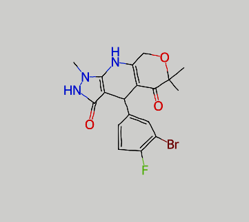 Cn1[nH]c(=O)c2c1NC1=C(C(=O)C(C)(C)OC1)C2c1ccc(F)c(Br)c1